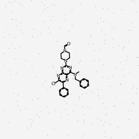 CN(Cc1ccccc1)c1nc(N2CCN(C=O)CC2)nc2nc(Cl)c(-c3ccccc3)nc12